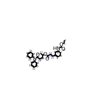 CCOC(=O)N[C@@H]1CCC=C(/C=C/C(=O)OC(C)/C=C\C(=O)N(c2ccccc2)c2ccccc2)C1